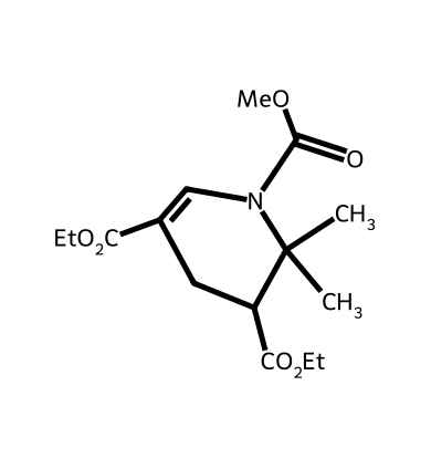 CCOC(=O)C1=CN(C(=O)OC)C(C)(C)C(C(=O)OCC)C1